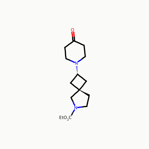 CCOC(=O)N1CC[C@]2(C1)C[C@@H](N1CCC(=O)CC1)C2